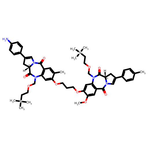 COc1cc2c(cc1OCCCOc1cc3c(cc1C)C(=O)N1C=C(c4ccc(N)cc4)C[C@H]1C(=O)N3COCC[Si](C)(C)C)N(COCC[Si](C)(C)C)C(=O)[C@@H]1CC(c3ccc(C)cc3)=CN1C2=O